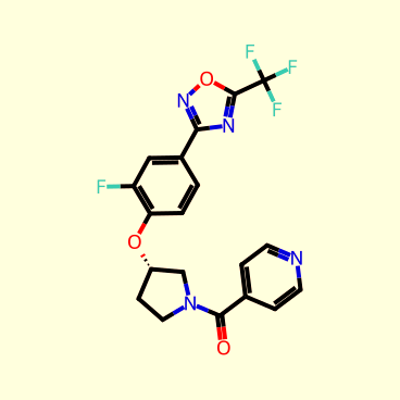 O=C(c1ccncc1)N1CC[C@H](Oc2ccc(-c3noc(C(F)(F)F)n3)cc2F)C1